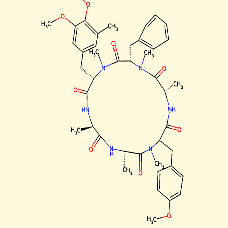 COc1ccc(CC2C(=O)N[C@@H](C)C(=O)N(C)[C@@H](Cc3ccccc3)C(=O)N(C)[C@@H](Cc3cc(C)c(OC)c(OC)c3)C(=O)N[C@H](C)C(=O)N[C@@H](C)C(=O)N2C)cc1